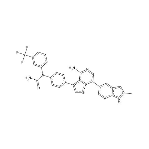 Cc1cc2cc(-c3cnc(N)c4c(-c5ccc(N(C(N)=O)c6cccc(C(F)(F)F)c6)cc5)csc34)ccc2[nH]1